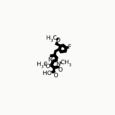 COCc1cc(F)ccc1Cc1cnc2c(OC)c(C(=O)O)c(=O)n(C)c2c1